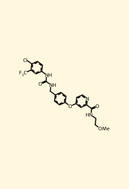 COCCNC(=O)c1cc(Oc2ccc(CNC(=O)Nc3ccc(Cl)c(C(F)(F)F)c3)cc2)ccn1